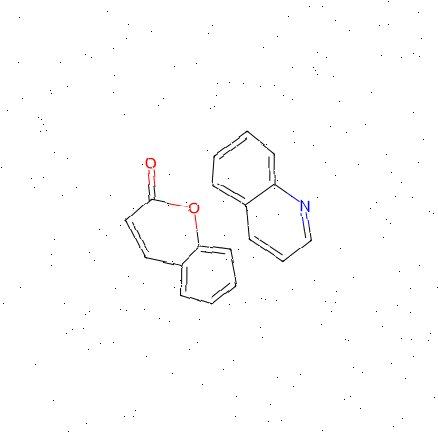 O=c1ccc2ccccc2o1.c1ccc2ncccc2c1